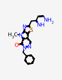 Cn1c2nc(CC(=N)/C=C\N)sc2c2cnn(Cc3ccccc3)c(=O)c21